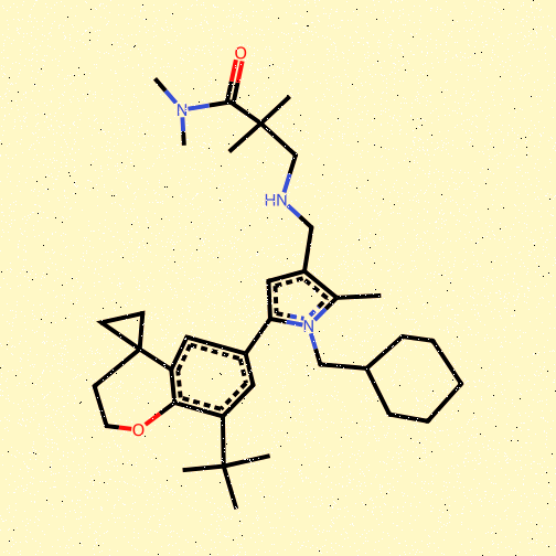 Cc1c(CNCC(C)(C)C(=O)N(C)C)cc(-c2cc(C(C)(C)C)c3c(c2)C2(CCO3)CC2)n1CC1CCCCC1